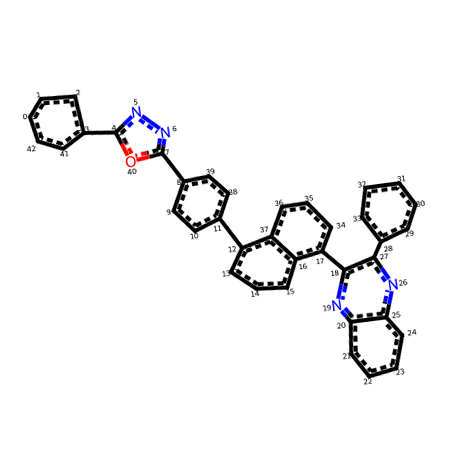 c1ccc(-c2nnc(-c3ccc(-c4cccc5c(-c6nc7ccccc7nc6-c6ccccc6)cccc45)cc3)o2)cc1